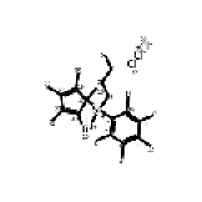 CCCC[Si](C)(c1c(C)c(C)c(C)c(C)c1C)C1(C)C(C)=C(C)C(C)=[C]1[Ti+3].[Cl-].[Cl-].[Cl-]